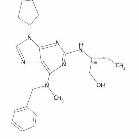 CC[C@H](CO)Nc1nc(N(C)Cc2ccccc2)c2ncn(C3CCCC3)c2n1